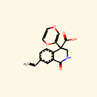 C=Cc1ccc2c(c1)C(=O)NCC2(C(=O)O)C1=COC=CO1